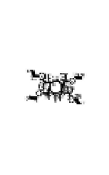 C=COCC1(F)C(F)(C(=O)OC=C)CC(F)(C(=O)OC=C)C(F)(C(=O)OC=C)C1(F)F